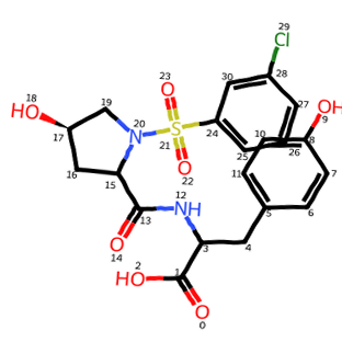 O=C(O)C(Cc1ccc(O)cc1)NC(=O)C1C[C@@H](O)CN1S(=O)(=O)c1cccc(Cl)c1